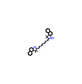 CC1(C)C(/C=C/C=C/C=C/C=C2/Nc3ccc4ccccc4c3C2(C)C)=Nc2ccc3ccccc3c21